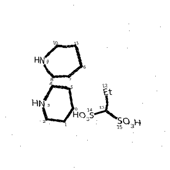 C1CCNCC1.C1CCNCC1.CCC(S(=O)(=O)O)S(=O)(=O)O